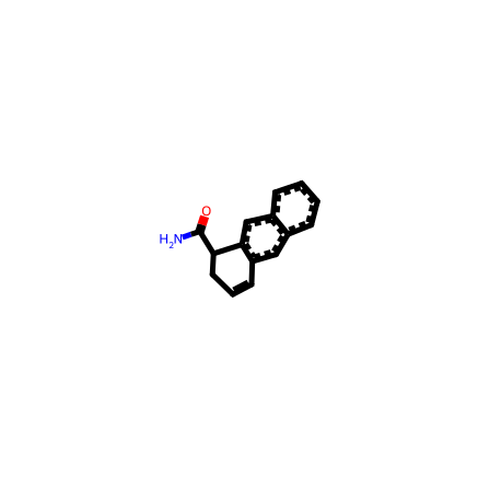 NC(=O)C1CC=Cc2cc3ccccc3cc21